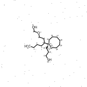 CCCCC(CCOCO)[N+]1(CCCS)CCCCCC[SiH2]1